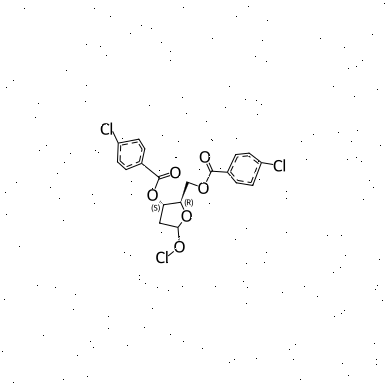 O=C(OC[C@H]1OC(OCl)C[C@@H]1OC(=O)c1ccc(Cl)cc1)c1ccc(Cl)cc1